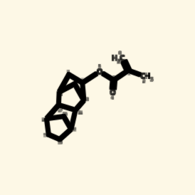 C=C(C)C(=O)OC1CC2CC1C1C3CCC(C3)C21